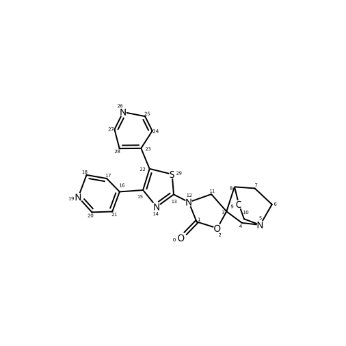 O=C1OC2(CN3CCC2CC3)CN1c1nc(-c2ccncc2)c(-c2ccncc2)s1